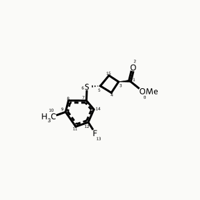 COC(=O)[C@H]1C[C@H](Sc2cc(C)cc(F)c2)C1